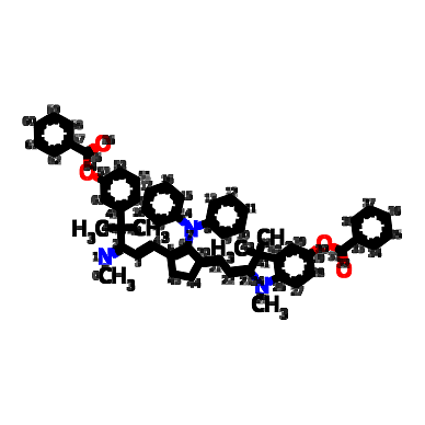 C/N=C(\C=C\C1=C(N(c2ccccc2)c2ccccc2)C(=C/C=C2/N(C)c3ccc(OC(=O)c4ccccc4)cc3C2(C)C)/CC1)C(C)(C)c1cccc(OC(=O)c2ccccc2)c1